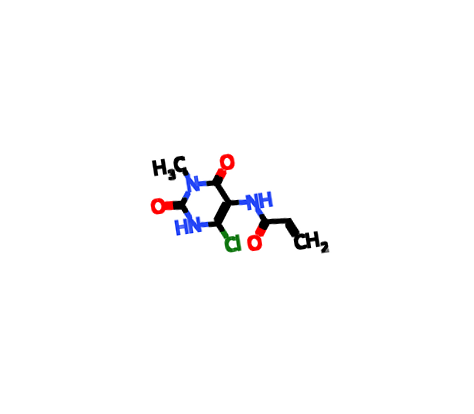 C=CC(=O)Nc1c(Cl)[nH]c(=O)n(C)c1=O